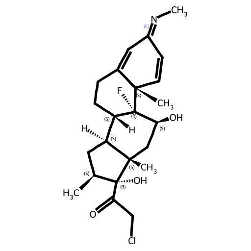 C/N=C1\C=C[C@@]2(C)C(=C1)CC[C@H]1[C@@H]3C[C@H](C)[C@](O)(C(=O)CCl)[C@@]3(C)C[C@H](O)[C@@]12F